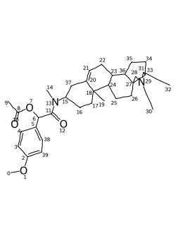 COc1ccc(C(OC(C)=O)C(=O)N(C)C2CCC3(C)C(=CCC4C3CCC35CN(C)C(C)C3CCC45)C2)cc1